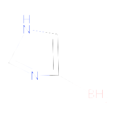 Bc1c[nH]cn1